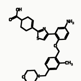 Cc1cc(CN2CCOCC2)ccc1COc1ccc(N)cc1-c1csc(C2=CCC(C(=O)O)CC2)n1